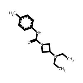 CCN(CC)C1CN(C(=O)Nc2ccc(C)cc2)C1